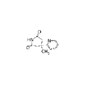 CC1(c2ccccn2)CC(=O)NC(=O)C1